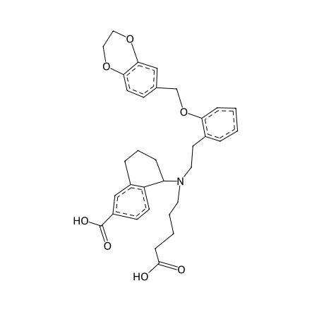 O=C(O)CCCCN(CCc1ccccc1OCc1ccc2c(c1)OCCO2)C1CCCc2cc(C(=O)O)ccc21